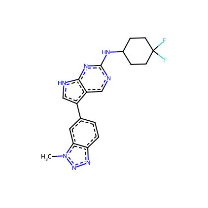 Cn1nnc2ccc(-c3c[nH]c4nc(NC5CCC(F)(F)CC5)ncc34)cc21